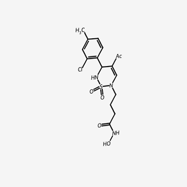 CC(=O)C1=CN(CCCC(=O)NO)S(=O)(=O)NC1c1ccc(C)cc1Cl